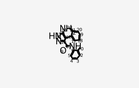 Cc1ccccc1NC(=O)c1n[nH]c(N)c1-c1ccccc1C